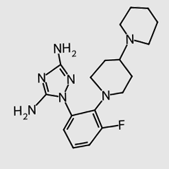 Nc1nc(N)n(-c2cccc(F)c2N2CCC(N3CCCCC3)CC2)n1